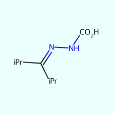 CC(C)C(=NNC(=O)O)C(C)C